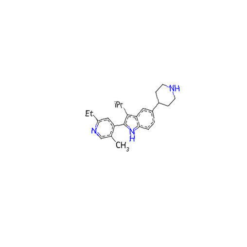 CCc1cc(-c2[nH]c3ccc(C4CCNCC4)cc3c2C(C)C)c(C)cn1